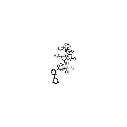 CC(C)C[C@H](NC(=O)[C@@H](NC(=O)c1cccc(-c2ccccc2)n1)[C@@H](C)O)B1OC(=O)CC(CC(=O)N(C)C)(C(=O)O)O1